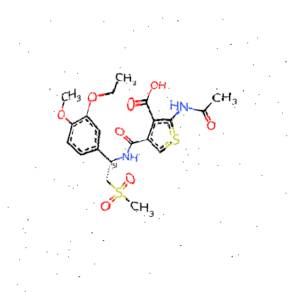 CCOc1cc([C@@H](CS(C)(=O)=O)NC(=O)c2csc(NC(C)=O)c2C(=O)O)ccc1OC